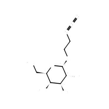 CC(=O)OC[C@H]1O[C@@H](OCCN=[N+]=[N-])[C@H](OC(C)=O)[C@@H](OC(C)=O)[C@H]1OC(C)=O